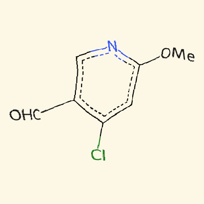 COc1cc(Cl)c(C=O)cn1